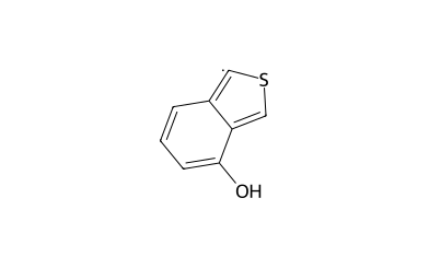 Oc1cccc2[c]scc12